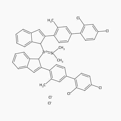 Cc1cc(-c2ccc(Cl)cc2Cl)ccc1C1=Cc2ccccc2[CH]1[Zr+2]([CH]1C(c2ccc(-c3ccc(Cl)cc3Cl)cc2C)=Cc2ccccc21)=[Si](C)C.[Cl-].[Cl-]